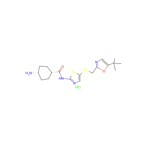 CC(C)(C)c1cnc(CSc2cnc(NC(=O)[C@H]3CC[C@@H](N)CC3)s2)o1.Cl